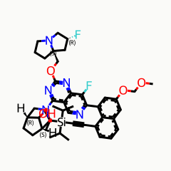 COCOc1cc(-c2ncc3c(N4C[C@H]5CC[C@@H](C4)C5O)nc(OC[C@@]45CCCN4C[C@H](F)C5)nc3c2F)c2c(C#C[Si](C(C)C)(C(C)C)C(C)C)cccc2c1